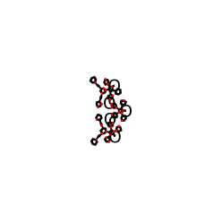 O=C1C(c2ccccc2)=C(c2ccc(Oc3ccc(C4=C(c5ccccc5)C(=O)C(c5ccccc5)=C4c4cc(C#Cc5ccccc5)cc(C#Cc5ccccc5)c4)cc3)cc2)C(c2ccc(Oc3ccc(C4=C(c5ccccc5)C(=O)C(c5ccccc5)=C4c4cc(C#Cc5ccccc5)cc(C#Cc5ccccc5)c4)cc3)cc2)=C1c1ccccc1